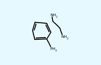 NCCN.Pc1ccccc1